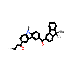 CCCCC1(CCCC)c2ccccc2-c2cc(C(=O)c3ccc4c(c3)c3cc(C(=O)CCC(C)C)ccc3n4CC)ccc21